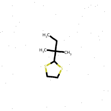 CCC(C)(C)C1SCCS1